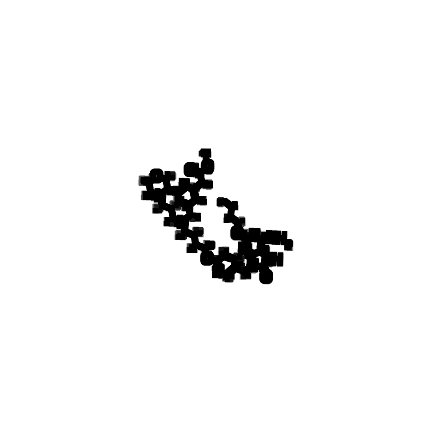 CCCCOc1nc(N)c2[nH]c(=O)n(Cc3ccc(OCCCCN(CCCN4CCOCC4)Cc4cccc(CC(=O)OC)c4)nc3)c2n1